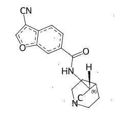 N#Cc1coc2cc(C(=O)N[C@H]3CN4CCC3CC4)ccc12